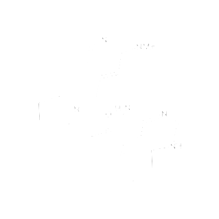 CNc1cc(C(=O)N2CCCCC2COc2cccc3c2C(N)=NSN3)ccn1